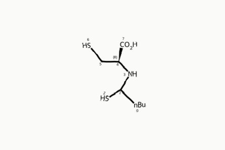 CCCCC(S)N[C@@H](CS)C(=O)O